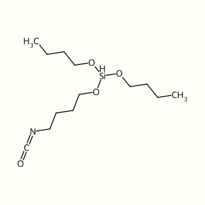 CCCCO[SiH](OCCCC)OCCCCN=C=O